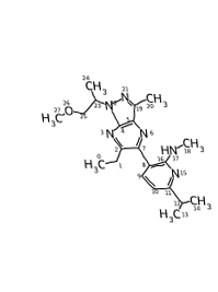 CCc1nc2c(nc1-c1ccc(C(C)C)nc1NC)c(C)nn2C(C)COC